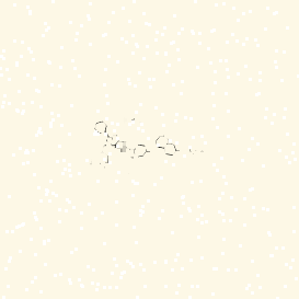 COc1ccc2c(Oc3ccc(NC(=O)c4c(C)n(C[C@@H](C)CC(N)C(=O)O)n(-c5ccccc5)c4=O)nc3)ccnc2c1.O=S(=O)(O)O